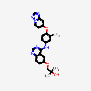 Cc1cc(Nc2ncnc3ccc(OCC(C)(C)O)cc23)ccc1Oc1ccn2ncnc2c1